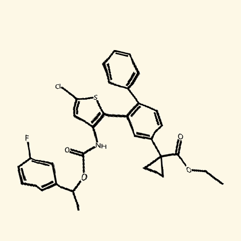 CCOC(=O)C1(c2ccc(-c3ccccc3)c(-c3sc(Cl)cc3NC(=O)OC(C)c3cccc(F)c3)c2)CC1